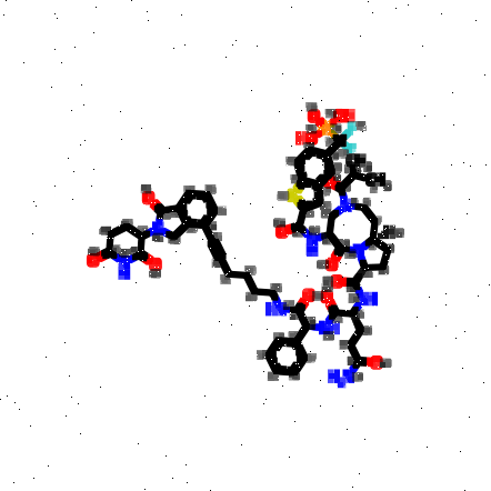 CC(C)C(=O)N1CC[C@H]2CC[C@@H](C(=O)N[C@@H](CCC(N)=O)C(=O)N[C@H](C(=O)NCCCCC#Cc3cccc4c3CN(C3CCC(=O)NC3=O)C4=O)c3ccccc3)N2C(=O)[C@@H](NC(=O)c2cc3cc(C(F)(F)P(=O)(O)O)ccc3s2)C1